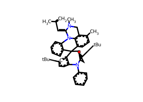 C=C(C)/C=C1\N(C)Cc2c(C)ccc3c2N1c1ccccc1C31c2cc(C(C)(C)C)ccc2N(c2ccccc2)c2ccc(C(C)(C)C)cc21